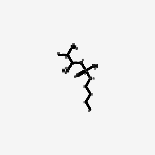 CCCCOP(=O)(O)OC(N)C(C)N